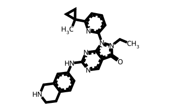 CCn1c(=O)c2cnc(Nc3ccc4c(c3)CNCC4)nc2n1-c1cccc(C2(C)CC2)n1